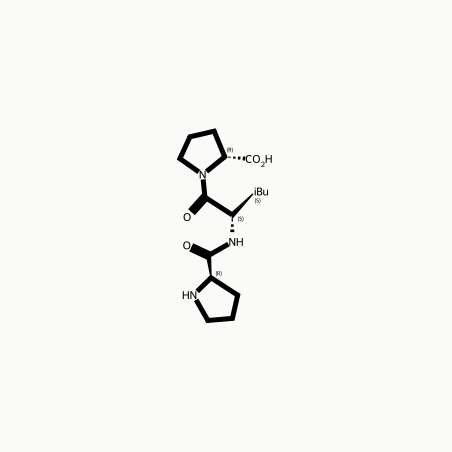 CC[C@H](C)[C@H](NC(=O)[C@H]1CCCN1)C(=O)N1CCC[C@@H]1C(=O)O